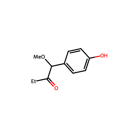 CCC(=O)C(OC)c1ccc(O)cc1